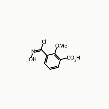 COc1c(C(=O)O)cccc1/C(Cl)=N\O